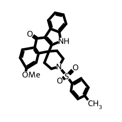 COc1ccc2c(c1)C1(CCN(S(=O)(=O)c3ccc(C)cc3)CC1)c1[nH]c3ccccc3c1C2=O